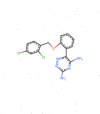 Nc1nnc(-c2ccccc2OCc2ccc(Cl)cc2Cl)c(N)n1